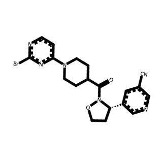 N#Cc1cncc([C@@H]2CCON2C(=O)C2CCN(c3ccnc(Br)n3)CC2)c1